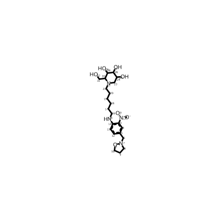 O=[N+]([O-])c1cc(CN2CCCO2)ccc1NCCCCCCN1CC(O)C(O)C(O)C1CO